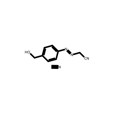 C#N.N#CCN=Nc1ccc(CO)cc1